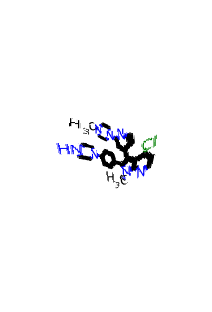 CN1CCN(c2cc(-c3c(-c4ccc(N5CCNCC5)cc4)n(C)c4nccc(Cl)c34)ccn2)CC1